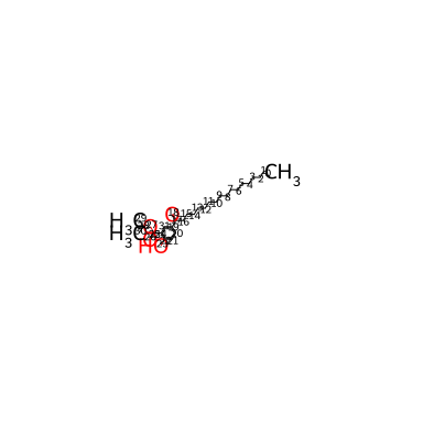 CCCCCCCCCCCCCCCCCC(=O)c1ccc(O)c(C(=O)OC(C)C)c1